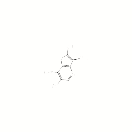 Cc1sc2c(C(C)(C)C)c(C(C)C)cnc2c1C